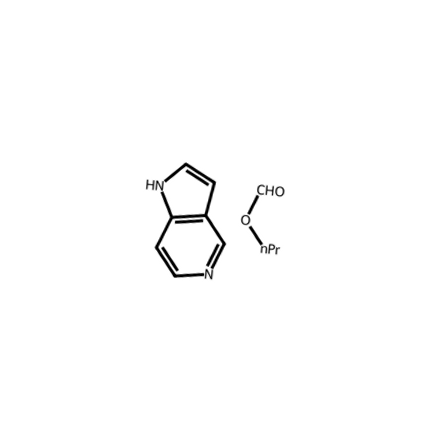 CCCOC=O.c1cc2[nH]ccc2cn1